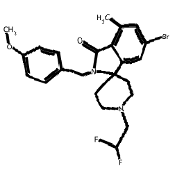 COc1ccc(CN2C(=O)c3c(C)cc(Br)cc3C23CCN(CC(F)F)CC3)cc1